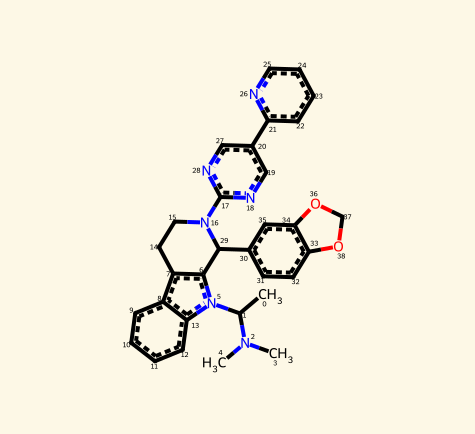 CC(N(C)C)n1c2c(c3ccccc31)CCN(c1ncc(-c3ccccn3)cn1)C2c1ccc2c(c1)OCO2